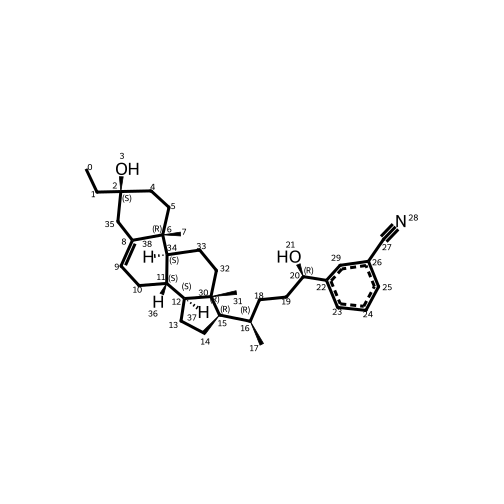 CC[C@]1(O)CC[C@@]2(C)C(=CC[C@H]3[C@@H]4CC[C@H]([C@H](C)CC[C@@H](O)c5cccc(C#N)c5)[C@@]4(C)CC[C@@H]32)C1